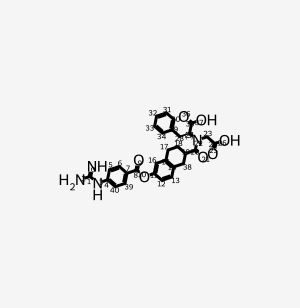 N=C(N)Nc1ccc(C(=O)Oc2ccc3c(c2)CCC(C(=O)N(CC(=O)O)[C@@H](Cc2ccccc2)C(=O)O)C3)cc1